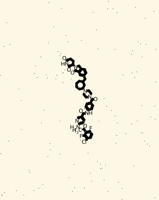 C[C@@H](Oc1cc(C(=O)Nc2ccc(C(=O)N3CCN(C4CCCCC(Cc5ccc6c(c5)C(=O)N(C5CCC(=O)NC5=O)C6)C4)CC3)cc2)cnc1N)c1c(F)ccc(Cl)c1F